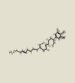 CCC/C=C/CCCC[C@H]1CC[C@H]([C@H]2CC[C@H](c3cc(F)c(F)c(F)c3)CC2)CC1